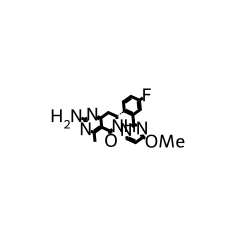 COc1ccnc(-c2cc(F)ccc2[C@H]2Cc3nc(N)nc(C)c3C(=O)N2)n1